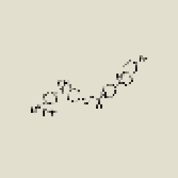 CN(c1ccc(C#N)c(C(F)(F)F)c1)[C@H]1CC[C@H](OCC(=O)N2CCN(c3ccc4cc(Br)ccc4n3)CC2)CC1